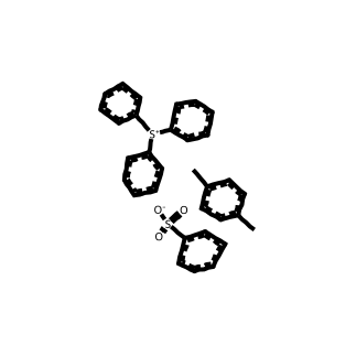 Cc1ccc(C)cc1.O=S(=O)([O-])c1ccccc1.c1ccc([S+](c2ccccc2)c2ccccc2)cc1